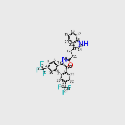 FC(F)(F)c1ccc(-c2nc(CCc3c[nH]c4ccccc34)oc2-c2ccc(C(F)(F)F)cc2)cc1